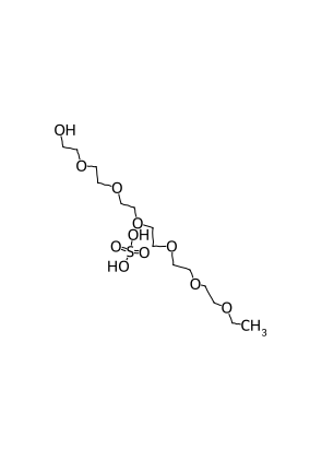 CCOCCOCCOCCOCCOCCOCCO.O=S(=O)(O)O